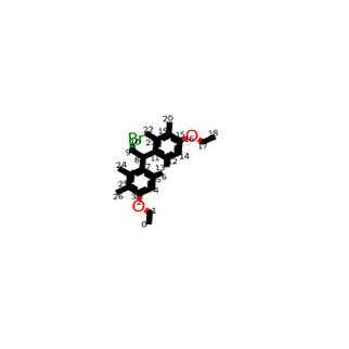 CCOc1cc(C)c(C(CBr)c2c(C)cc(OCC)c(C)c2C)c(C)c1C